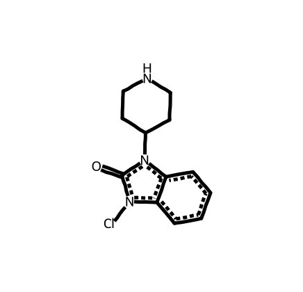 O=c1n(Cl)c2ccccc2n1C1CCNCC1